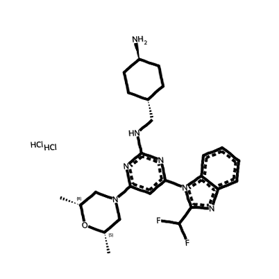 C[C@@H]1CN(c2cc(-n3c(C(F)F)nc4ccccc43)nc(NC[C@H]3CC[C@H](N)CC3)n2)C[C@H](C)O1.Cl.Cl